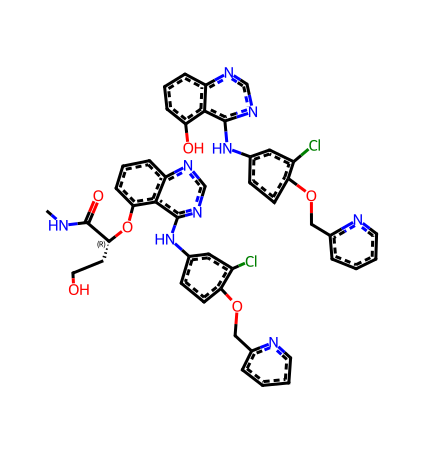 CNC(=O)[C@@H](CCO)Oc1cccc2ncnc(Nc3ccc(OCc4ccccn4)c(Cl)c3)c12.Oc1cccc2ncnc(Nc3ccc(OCc4ccccn4)c(Cl)c3)c12